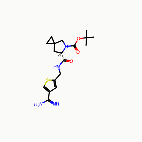 CC(C)(C)OC(=O)N1CC2(CC2)C[C@H]1C(=O)NCc1cc(C(=N)N)cs1